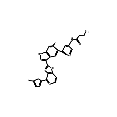 CCCC(=O)Nc1cncc(-c2cc3c(-c4nc5c(-c6ccc(F)s6)nccc5[nH]4)n[nH]c3cc2F)c1